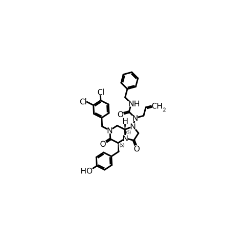 C=CCN(C(=O)NCc1ccccc1)N1CC(=O)N2[C@@H](Cc3ccc(O)cc3)C(=O)N(Cc3ccc(Cl)c(Cl)c3)C[C@@H]21